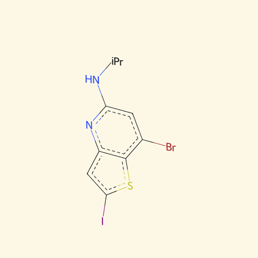 CC(C)Nc1cc(Br)c2sc(I)cc2n1